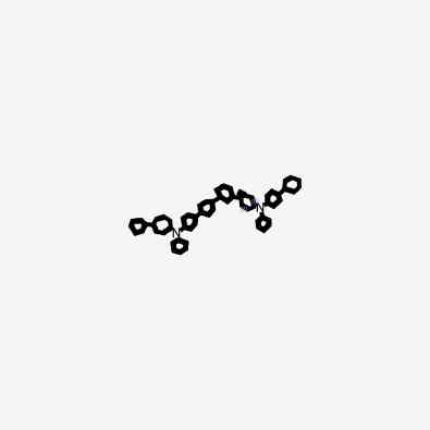 C#C/C=C(\C=C/Cc1cccc(-c2ccc(-c3ccc(N(C4=CC=C(c5ccccc5)C=CC4)c4ccccc4)cc3)cc2)c1)N(c1ccccc1)c1ccc(C2=CCCC=C2)cc1